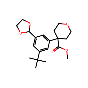 COC(=O)C1(c2cc(C3OCCO3)cc(C(C)(C)C)c2)CCOCC1